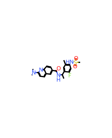 Cc1cc(C(C)NC(=O)c2ccc3nc(N(C)C)ccc3c2)c(F)cc1NS(C)(=O)=O